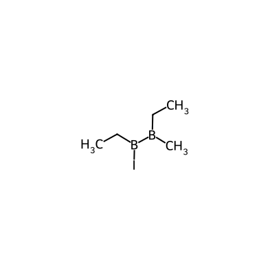 CCB(C)B(I)CC